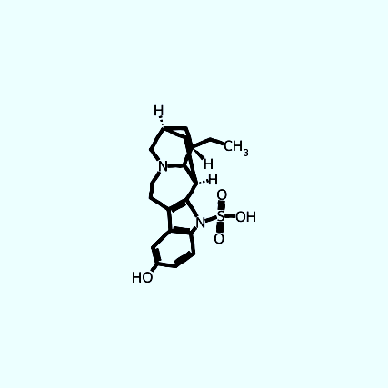 CC[C@H]1C[C@H]2C[C@H]3c4c(c5cc(O)ccc5n4S(=O)(=O)O)CCN(C2)C13